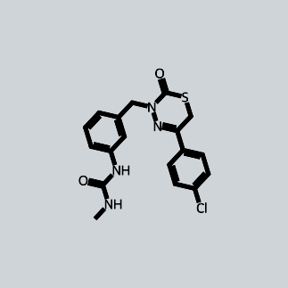 CNC(=O)Nc1cccc(CN2N=C(c3ccc(Cl)cc3)CSC2=O)c1